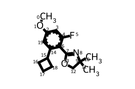 COc1cc(F)c(C2=NC(C)(C)CO2)c(C2CCC2)c1